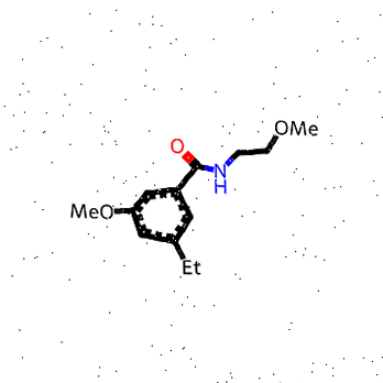 CCc1cc(OC)cc(C(=O)NCCOC)c1